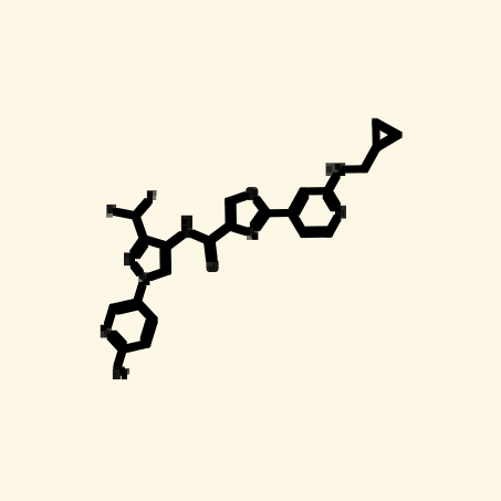 CC(C)c1ccc(-n2cc(NC(=O)c3coc(-c4ccnc(NCC5CC5)c4)n3)c(C(F)F)n2)cn1